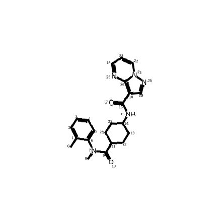 Cc1ccccc1N(C)C(=O)C1CCC(NC(=O)c2cnn3cccnc23)CC1